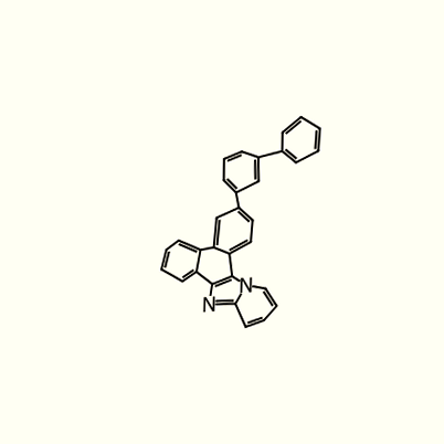 c1ccc(-c2cccc(-c3ccc4c(c3)c3ccccc3c3nc5ccccn5c43)c2)cc1